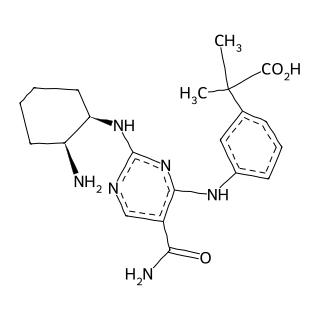 CC(C)(C(=O)O)c1cccc(Nc2nc(N[C@@H]3CCCC[C@@H]3N)ncc2C(N)=O)c1